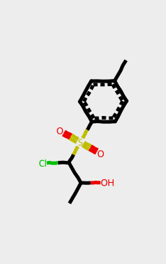 Cc1ccc(S(=O)(=O)C(Cl)C(C)O)cc1